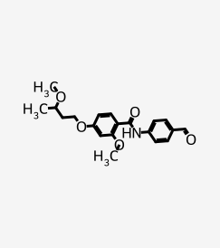 COc1cc(OCCC(C)OC)ccc1C(=O)Nc1ccc(C=O)cc1